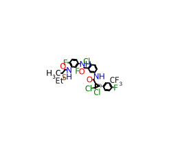 CCSC(C)C(=O)Nc1c(F)ccc(NC(=O)c2cc(NC(=O)C3[C@H](c4ccc(F)c(C(F)(F)F)c4)C3(Cl)Cl)ccc2Cl)c1F